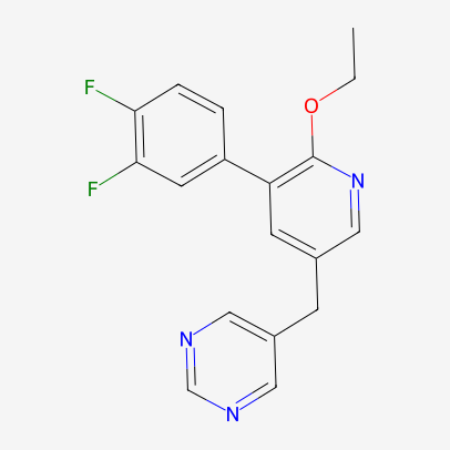 CCOc1ncc(Cc2cncnc2)cc1-c1ccc(F)c(F)c1